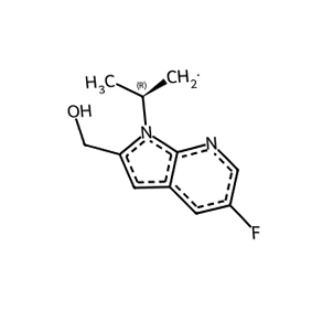 [CH2][C@H](C)n1c(CO)cc2cc(F)cnc21